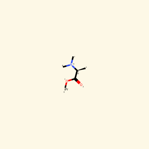 CC(C)OC(=O)[C@H](C)N(C)C